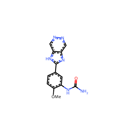 COc1ccc(-c2nc3cnncc3[nH]2)cc1NC(N)=O